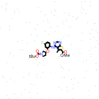 COC(=O)c1sc2ncnc(Nc3ccc(F)cc3OC3CCN(C(=O)OC(C)(C)C)C3)c2c1C